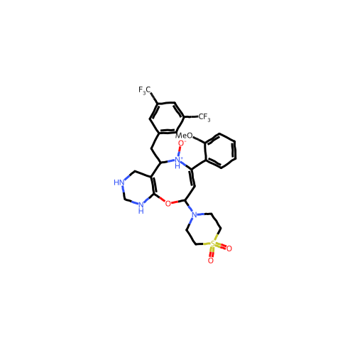 COc1ccccc1/C1=C/C(N2CCS(=O)(=O)CC2)OC2=C(CNCN2)C(Cc2cc(C(F)(F)F)cc(C(F)(F)F)c2)[NH+]1[O-]